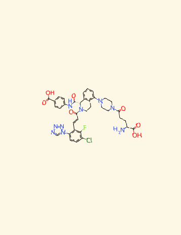 N[C@@H](CCC(=O)N1CCN(c2cccc3c2CCN(C(=O)/C=C/c2c(-n4cnnn4)ccc(Cl)c2F)[C@@H]3C(=O)Nc2ccc(C(=O)O)cc2)CC1)C(=O)O